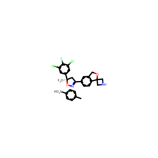 Cc1ccc(S(=O)(=O)O)cc1.Fc1c(Cl)cc([C@@]2(C(F)(F)F)CC(c3ccc4c(c3)COC43CNC3)=NO2)cc1Cl